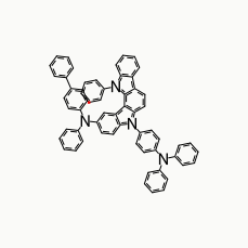 c1ccc(-c2ccc(N(c3ccccc3)c3ccc4c(c3)c3c(ccc5c6ccccc6n(-c6ccccc6)c53)n4-c3ccc(N(c4ccccc4)c4ccccc4)cc3)cc2)cc1